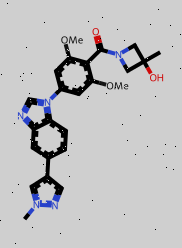 COc1cc(-n2cnc3cc(-c4cnn(C)c4)ccc32)cc(OC)c1C(=O)N1CC(C)(O)C1